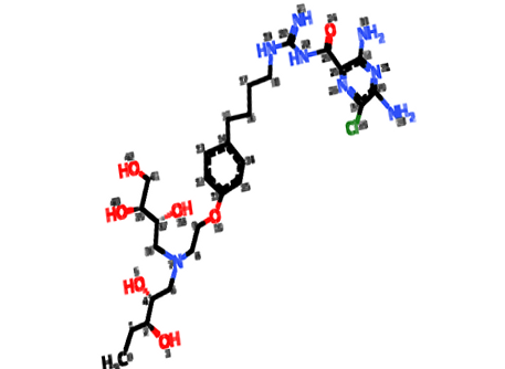 CC[C@H](O)[C@H](O)CN(CCOc1ccc(CCCCNC(=N)NC(=O)c2nc(Cl)c(N)nc2N)cc1)C[C@@H](O)[C@@H](O)CO